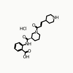 Cl.O=C(O)c1ccccc1NC(=O)[C@@H]1CCCN(C(=O)/C=C/C2CCNCC2)C1